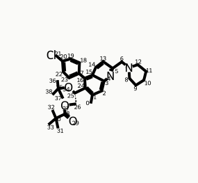 Cc1cc2nc(CN3CCCCC3)ccc2c(-c2ccc(Cl)cc2)c1[C@H](COC(=O)C(C)(C)C)OC(C)(C)C